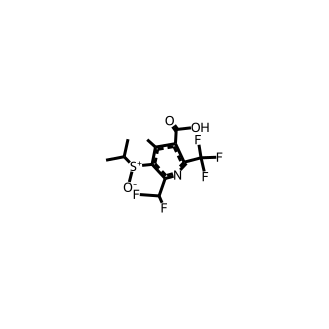 Cc1c(C(=O)O)c(C(F)(F)F)nc(C(F)F)c1[S+]([O-])C(C)C